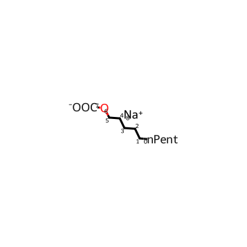 CCCCCCCCCCOC(=O)[O-].[Na+]